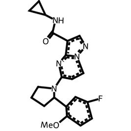 COc1ccc(F)cc1C1CCCN1c1ccn2ncc(C(=O)NC3CC3)c2n1